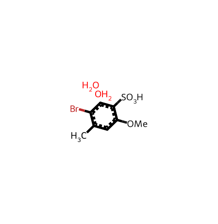 COc1cc(C)c(Br)cc1S(=O)(=O)O.O.O